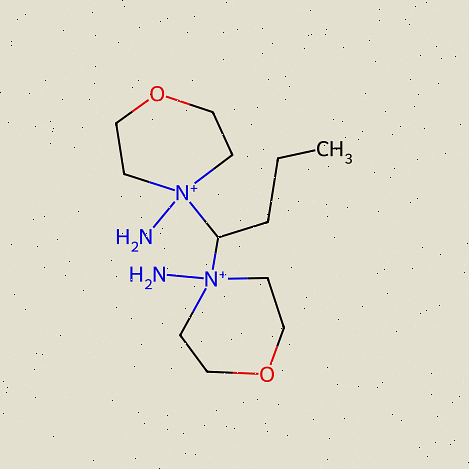 CCCC([N+]1(N)CCOCC1)[N+]1(N)CCOCC1